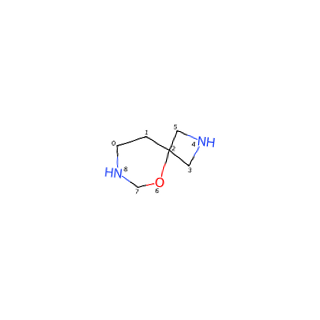 C1CC2(CNC2)OCN1